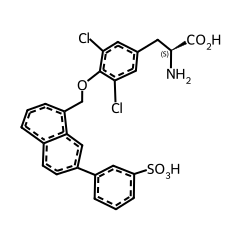 N[C@@H](Cc1cc(Cl)c(OCc2cccc3ccc(-c4cccc(S(=O)(=O)O)c4)cc23)c(Cl)c1)C(=O)O